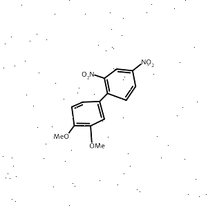 COc1ccc(-c2ccc([N+](=O)[O-])[c]c2[N+](=O)[O-])cc1OC